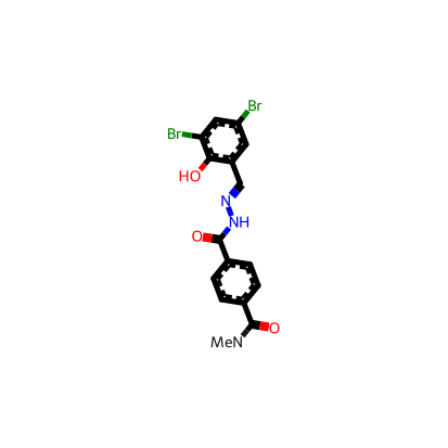 CNC(=O)c1ccc(C(=O)N/N=C/c2cc(Br)cc(Br)c2O)cc1